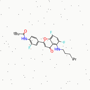 CC(C)CCCNc1c(F)cc(F)c2oc(-c3ccc(NC(=O)C(C)(C)C)c(F)c3)cc(=O)c12